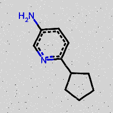 Nc1ccc(C2CCCC2)nc1